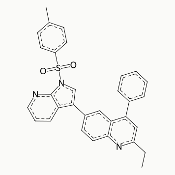 CCc1cc(-c2ccccc2)c2cc(-c3cn(S(=O)(=O)c4ccc(C)cc4)c4ncccc34)ccc2n1